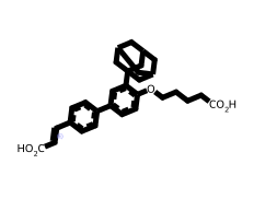 O=C(O)/C=C/c1ccc(-c2ccc(OCCCCC(=O)O)c(C34CC5CC(CC(C5)C3)C4)c2)cc1